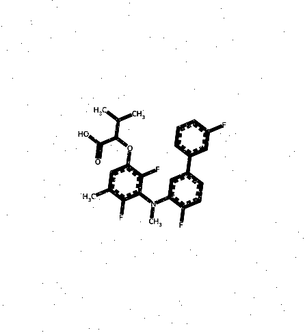 Cc1cc(OC(C(=O)O)C(C)C)c(F)c(N(C)c2cc(-c3cccc(F)c3)ccc2F)c1F